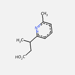 Cc1cccc(C(C)CC(=O)O)n1